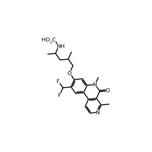 Cc1nccc2c1c(=O)n(C)c1cc(OCC(C)CC(C)NC(=O)O)c(C(F)F)cc21